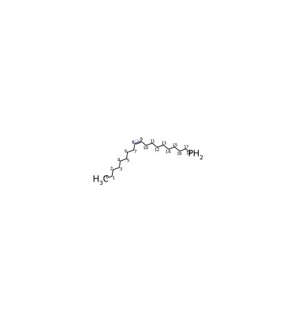 CCCCCCCC/C=C\CCCCCCCCP